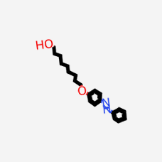 OCCCCCCCCCOc1ccc(N=Nc2ccccc2)cc1